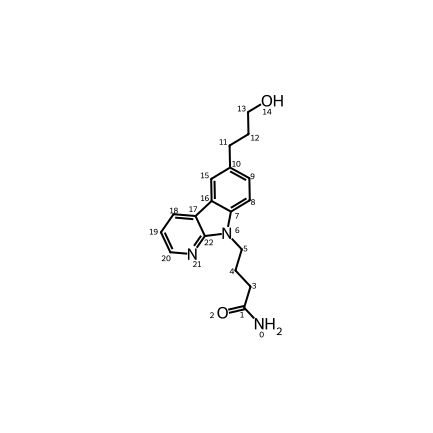 NC(=O)CCCn1c2ccc(CCCO)cc2c2cccnc21